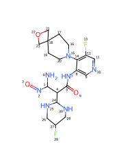 NC(N=O)C(C(=O)Nc1cncc(F)c1N1CCC2(CC1)COC2)C1NCC(F)CN1